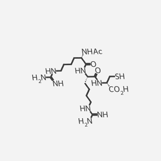 CC(=O)N[C@@H](CCCCNC(=N)N)C(=O)N[C@@H](CCCCNC(=N)N)C(=O)N[C@H](CS)C(=O)O